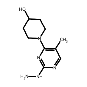 Cc1cnc(NN)nc1N1CCC(O)CC1